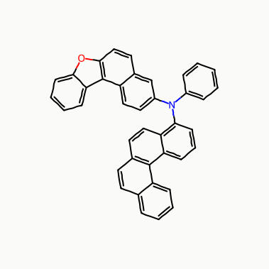 c1ccc(N(c2ccc3c(ccc4oc5ccccc5c43)c2)c2cccc3c2ccc2ccc4ccccc4c23)cc1